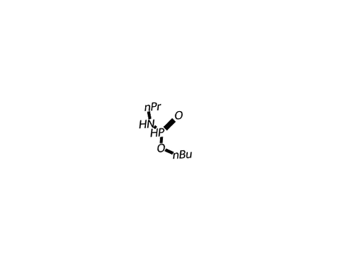 CCCCO[PH](=O)NCCC